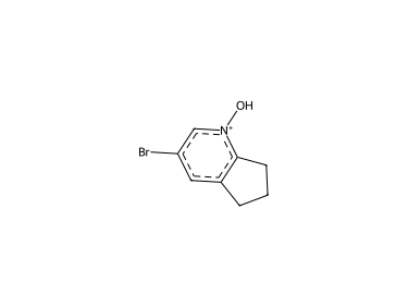 O[n+]1cc(Br)cc2c1CCC2